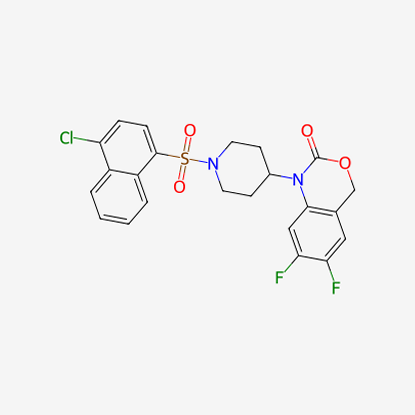 O=C1OCc2cc(F)c(F)cc2N1C1CCN(S(=O)(=O)c2ccc(Cl)c3ccccc23)CC1